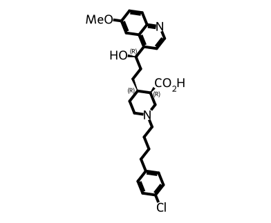 COc1ccc2nccc([C@H](O)CC[C@@H]3CCN(CCCCc4ccc(Cl)cc4)C[C@@H]3C(=O)O)c2c1